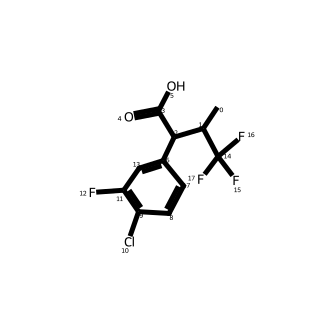 CC(C(C(=O)O)c1ccc(Cl)c(F)c1)C(F)(F)F